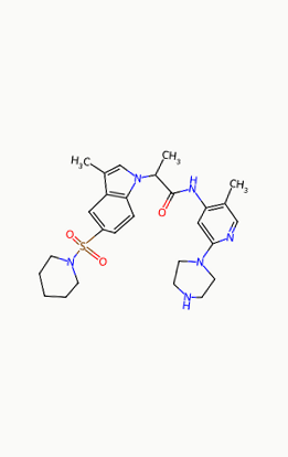 Cc1cnc(N2CCNCC2)cc1NC(=O)C(C)n1cc(C)c2cc(S(=O)(=O)N3CCCCC3)ccc21